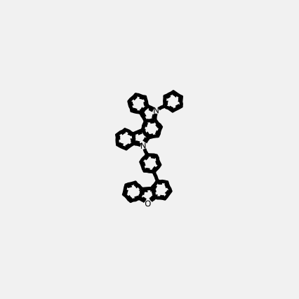 c1ccc(-n2c3ccccc3c3c4c5ccccc5n(-c5ccc(-c6cccc7oc8ccccc8c67)cc5)c4ccc32)cc1